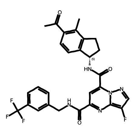 CC(=O)c1ccc2c(c1C)CC[C@@H]2NC(=O)c1cc(C(=O)NCc2cccc(C(F)(F)F)c2)nc2c(F)cnn12